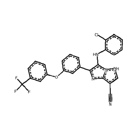 N#Cc1c[nH]n2c(Nc3ccccc3Cl)c(-c3cccc(Oc4cccc(C(F)(F)F)c4)c3)nc12